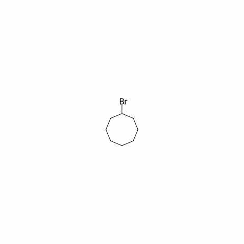 BrC1CCCCCCC1